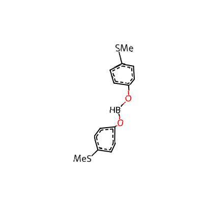 CSc1ccc(OBOc2ccc(SC)cc2)cc1